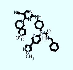 Cn1cc(-c2ccc([N+](C(=O)NCc3ccccc3)=C3CCC(Nc4ncc(C#N)c(N5CCCC6(CCS(=O)(=O)C6)C5)n4)CC3)nc2)cn1